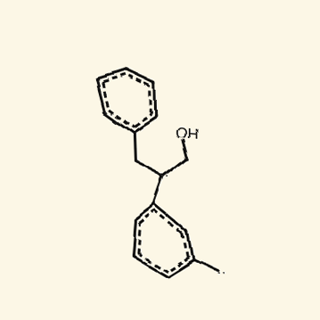 [CH2]c1cccc([C](CO)Cc2ccccc2)c1